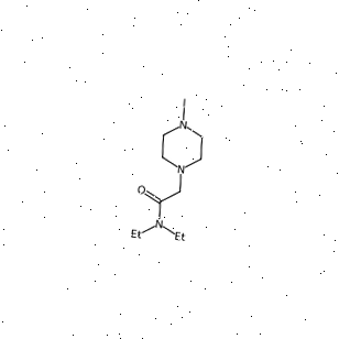 CCN(CC)C(=O)CN1CCN(I)CC1